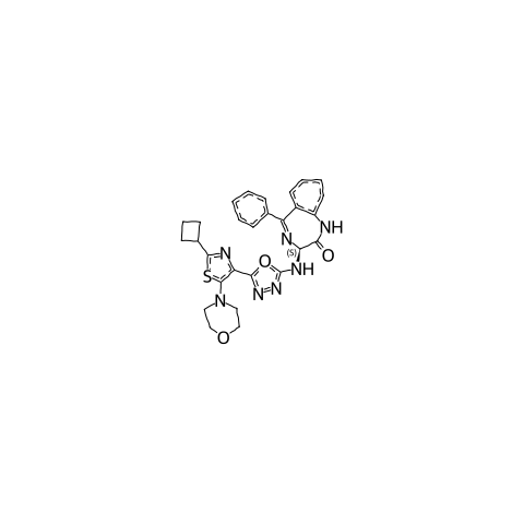 O=C1Nc2ccccc2C(c2ccccc2)=N[C@@H]1Nc1nnc(-c2nc(C3CCC3)sc2N2CCOCC2)o1